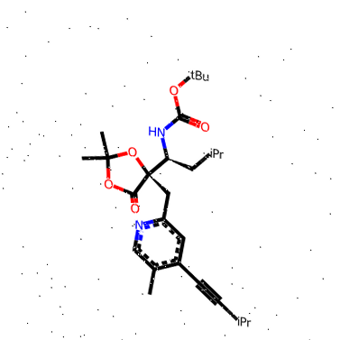 Cc1cnc(C[C@]2([C@H](CC(C)C)NC(=O)OC(C)(C)C)OC(C)(C)OC2=O)cc1C#CC(C)C